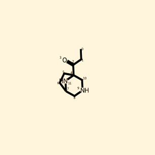 CCC(=O)C12CCC(CNC1)N2